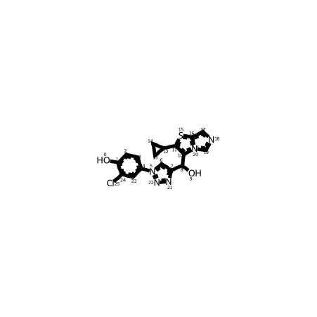 Oc1ccc(-n2cc(C(O)c3c(C4CC4)sc4cncn34)nn2)cc1Cl